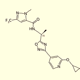 C[C@H](NC(=O)c1cc(C(F)(F)F)nn1C)c1nc(-c2ccnc(OC3CC3)c2)no1